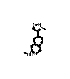 CNc1cc2cc(-c3cnnn3C)ccc2cn1